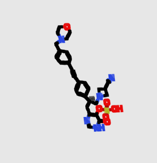 N#CC1CN(C[C@@H](Cc2nc[nH]c(=O)c2OS(=O)(=O)O)c2ccc(C#Cc3ccc(CN4CCOCC4)cc3)cc2)C1